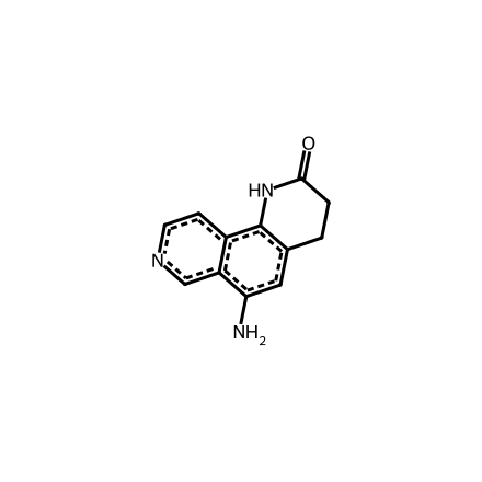 Nc1cc2c(c3ccncc13)NC(=O)CC2